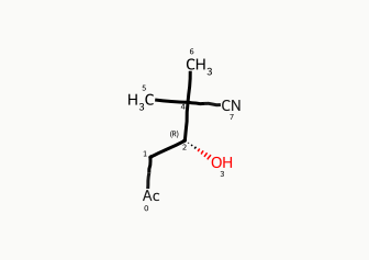 CC(=O)C[C@@H](O)C(C)(C)C#N